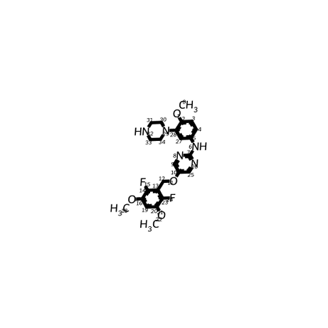 COc1ccc(Nc2ncc(OCc3c(F)c(OC)cc(OC)c3F)cn2)cc1N1CCNCC1